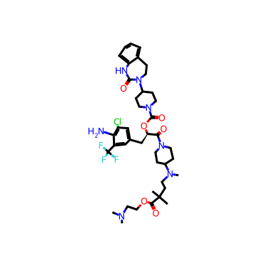 CN(C)CCOC(=O)C(C)(C)CCN(C)C1CCN(C(=O)[C@@H](Cc2cc(Cl)c(N)c(C(F)(F)F)c2)OC(=O)N2CCC(N3CCc4ccccc4NC3=O)CC2)CC1